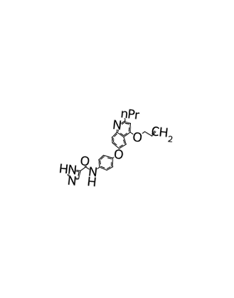 C=CCOc1cc(CCC)nc2ccc(Oc3ccc(NC(=O)c4cnc[nH]4)cc3)cc12